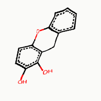 Oc1ccc2c(c1O)Cc1ccccc1O2